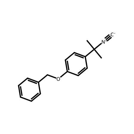 [C-]#[N+]C(C)(C)c1ccc(OCc2ccccc2)cc1